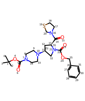 CC(C)(C)OC(=O)N1CCN([C@H]2C[C@@H](C(=O)N3CCSC3)N(C(=O)OCc3ccccc3)C2)CC1